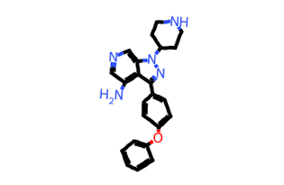 Nc1cncc2c1c(-c1ccc(Oc3ccccc3)cc1)nn2C1CCNCC1